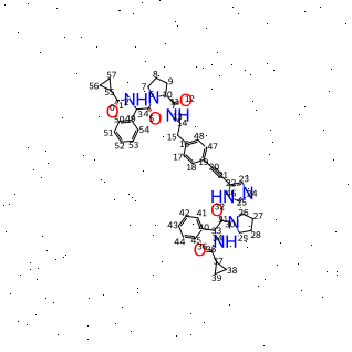 O=C(N[C@@H](C(=O)N1CCC[C@H]1C(=O)NCCc1ccc(C#Cc2cnc([C@@H]3CCCN3C(=O)[C@H](NC(=O)C3CC3)c3ccccc3)[nH]2)cc1)c1ccccc1)C1CC1